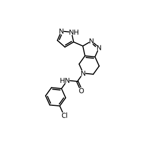 O=C(Nc1cccc(Cl)c1)N1CCC2=C(C1)C(c1ccn[nH]1)N=N2